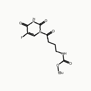 CC(C)(C)OC(=O)NCCCC(=O)n1cc(F)c(=O)[nH]c1=O